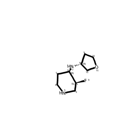 F[C@H]1CNCC[C@H]1N[C@@H]1CCOC1